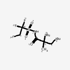 CC(C)(C)CC(C)(C(=O)NS(=O)(=O)C(F)(F)CF)C(C)(C)C